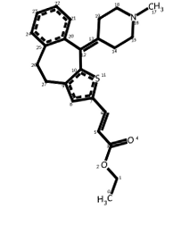 CCOC(=O)C=Cc1cc2c(s1)C(=C1CCN(C)CC1)c1ccccc1CC2